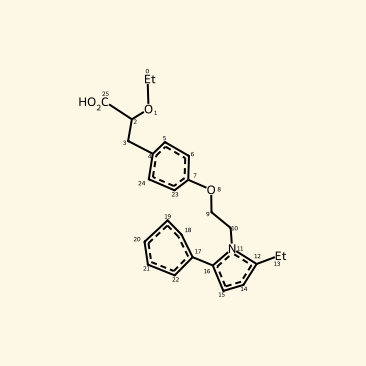 CCOC(Cc1ccc(OCCn2c(CC)ccc2-c2ccccc2)cc1)C(=O)O